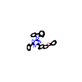 c1ccc(-c2nc(-c3ccc4ccc5c6ccccc6oc5c4c3)nc(-n3c4ccccc4c4ccccc43)n2)cc1